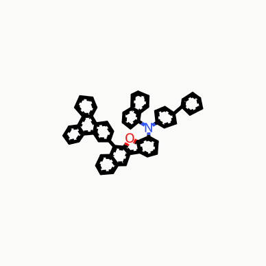 c1ccc(-c2ccc(N(c3cccc4ccccc34)c3cccc4c3oc3c(-c5ccc6c7ccccc7c7ccccc7c6c5)c5ccccc5cc34)cc2)cc1